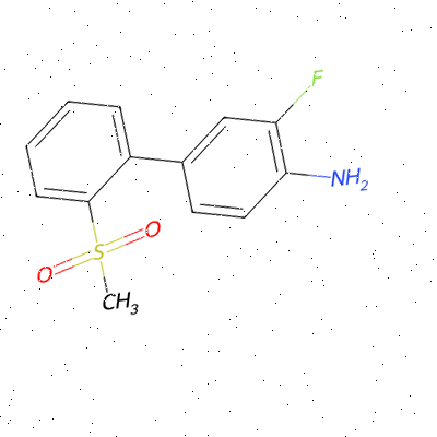 CS(=O)(=O)c1ccccc1-c1ccc(N)c(F)c1